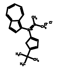 C[Si](C)=[Zr+2]([C]1=CC=C(C(C)(C)C)C1)[c]1ccc2cccccc1-2.[Cl-].[Cl-]